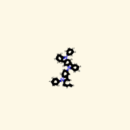 C=C/C=C\c1c(C)c2cc(-n3c4ccccc4c4cc5c(cc43)c3ccccc3n5-c3ccccc3)ccc2n1-c1ccccc1